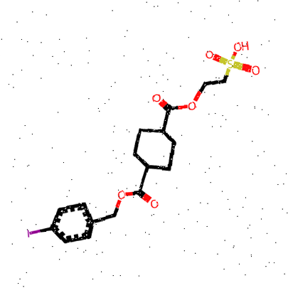 O=C(OCCS(=O)(=O)O)C1CCC(C(=O)OCc2ccc(I)cc2)CC1